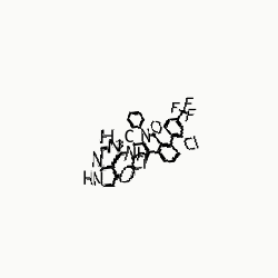 C[C@H](Nc1ncnc2[nH]ccc(=O)c12)c1c(Cl)c2cccc(-c3ccc(C(F)(F)F)cc3Cl)c2c(=O)n1-c1ccccc1